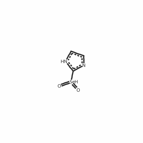 O=[SeH](=O)c1ncc[nH]1